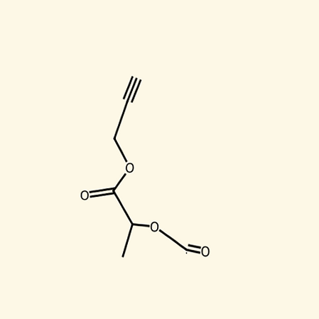 C#CCOC(=O)C(C)O[C]=O